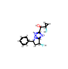 O=C(c1nc2n(n1)C(c1ccccc1)CC2F)C1(F)CC1